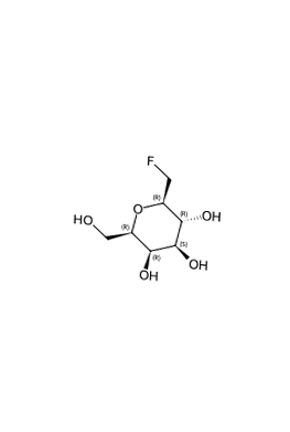 OC[C@H]1O[C@@H](CF)[C@H](O)[C@@H](O)[C@H]1O